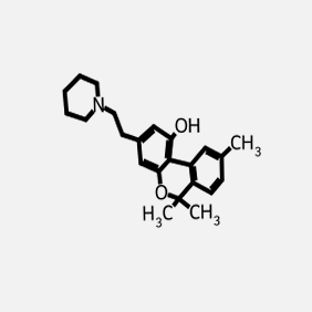 Cc1ccc2c(c1)-c1c(O)cc(CCN3CCCCC3)cc1OC2(C)C